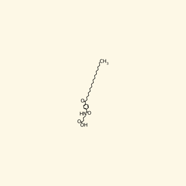 CCCCCCCCCCCCCCCCCCCC(=O)c1ccc(C(=O)NCCCC(=O)O)cc1